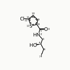 O=C(NC[C@H](O)CI)c1ccc(Cl)s1